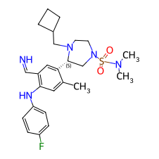 Cc1cc(Nc2ccc(F)cc2)c(C=N)cc1[C@H]1CN(S(=O)(=O)N(C)C)CCN1CC1CCC1